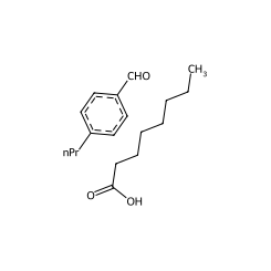 CCCCCCCC(=O)O.CCCc1ccc(C=O)cc1